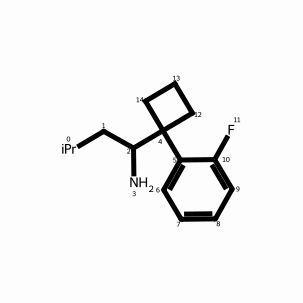 CC(C)CC(N)C1(c2ccccc2F)CCC1